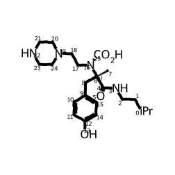 CC(C)CCNC(=O)[C@](C)(Cc1ccc(O)cc1)N(CCN1CCNCC1)C(=O)O